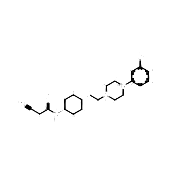 N#CCC(=O)N[C@H]1CC[C@H](CCN2CCN(c3cccc(Br)c3)CC2)CC1